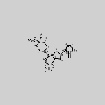 COC1(C)CCN(c2cc(N)nc3c2S[C@@H](c2ccn[nH]2)C3)CC1